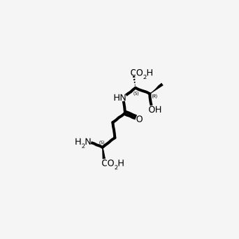 C[C@@H](O)[C@H](NC(=O)CC[C@H](N)C(=O)O)C(=O)O